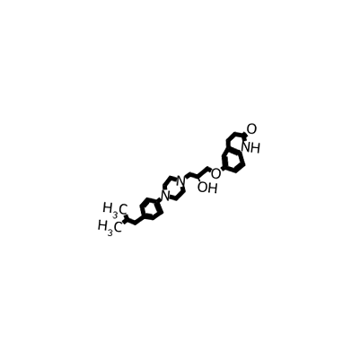 CC(C)Cc1ccc(N2CCN(C[C@@H](O)COc3ccc4c(c3)CCC(=O)N4)CC2)cc1